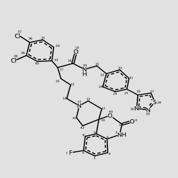 O=C1Nc2ccc(F)cc2C2(CCN(CCCC(C(=O)NCc3ccc(-c4csnn4)cc3)c3ccc(Cl)c(Cl)c3)CC2)O1